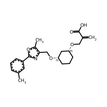 C=C(CO[C@@H]1CCC[C@H](OCc2nc(-c3cccc(C)c3)oc2C)C1)C(=O)O